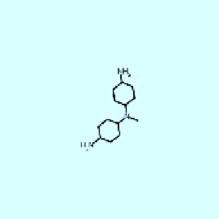 CN(C1CCC(N)CC1)C1CCC(N)CC1